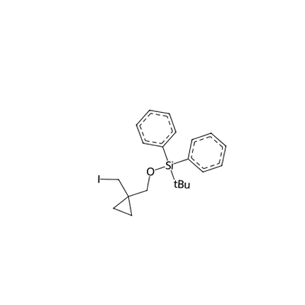 CC(C)(C)[Si](OCC1(CI)CC1)(c1ccccc1)c1ccccc1